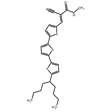 CCCCC(CCCC)c1ccc(-c2ccc(-c3ccc(/C=C(\C#N)C(=O)NC)s3)s2)s1